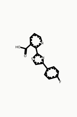 O=C(O)c1cccnc1-c1nc(-c2ccc(F)cc2)cs1